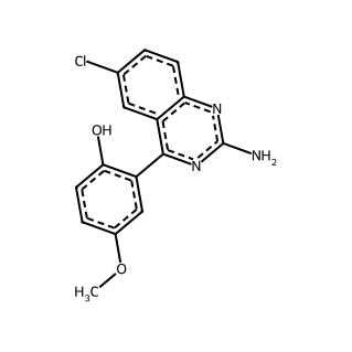 COc1ccc(O)c(-c2nc(N)nc3ccc(Cl)cc23)c1